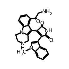 Cn1cc(C2=C(c3c4n(c5cccc(C(=O)CN)c35)CCNC4)C(=O)NC2=O)c2ccccc21